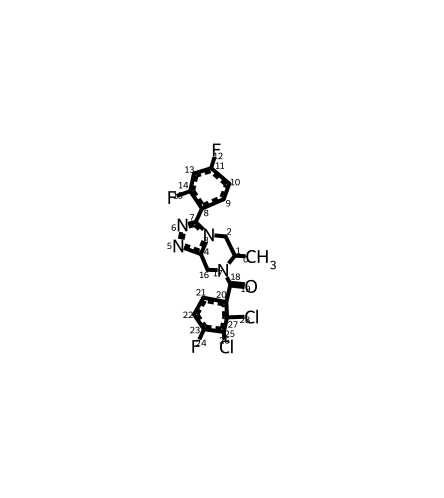 CC1Cn2c(nnc2-c2ccc(F)cc2F)CN1C(=O)c1ccc(F)c(Cl)c1Cl